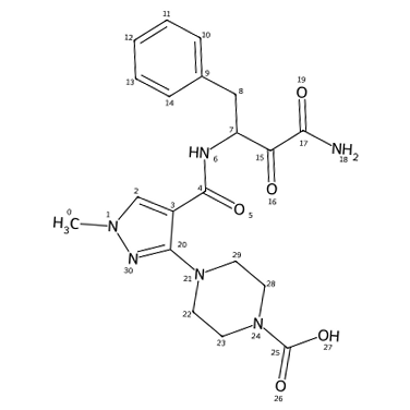 Cn1cc(C(=O)NC(Cc2ccccc2)C(=O)C(N)=O)c(N2CCN(C(=O)O)CC2)n1